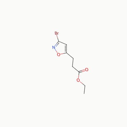 CCOC(=O)CCc1cc(Br)no1